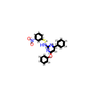 O=[N+]([O-])c1cccc(SNc2nc(Oc3ccccc3)cc(-c3ccccc3)n2)c1